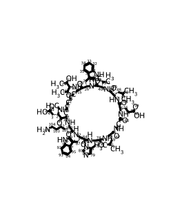 CN[C@@H](CC(=O)O)C(=O)C1CSCSCC(N[C@H](C(C)=O)[C@@H](C)O)C(=O)[C@H](Cc2c[nH]c3ccccc23)NC(=O)[C@H](C(C)C)NC(=O)[C@H](CC(C)C)NC(=O)[C@H](CCC(=O)O)NC(=O)CNC(=O)[C@H](CC(C)C)NC(=O)[C@H](Cc2cnc[nH]2)NC(=O)[C@H](Cc2c[nH]c3ccccc23)NC(=O)[C@H](CCCCN)N1